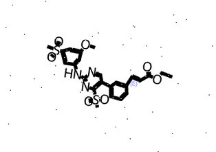 CCOC(=O)/C=C/c1cccc(-c2cnc(Nc3cc(OC)cc(S(C)(=O)=O)c3)nc2S(C)(=O)=O)c1